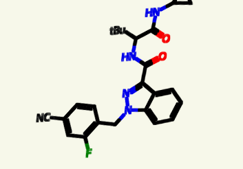 CC(C)(C)C(NC(=O)c1nn(Cc2ccc(C#N)cc2F)c2ccccc12)C(=O)NC1CC1